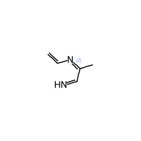 C=C/N=C(/C)C=N